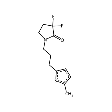 Cc1ccc(CCCN2CCC(F)(F)C2=O)s1